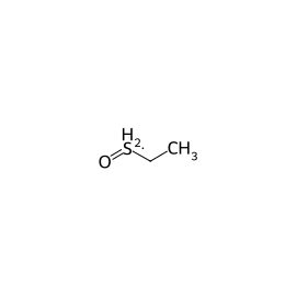 CC[SH2]=O